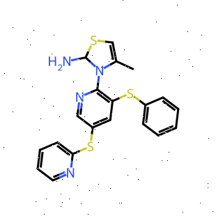 CC1=CSC(N)N1c1ncc(Sc2ccccn2)cc1Sc1ccccc1